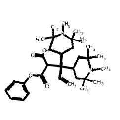 C=CC(C1CC(C)(C)N(C)C(C)(C)C1)(C1CC(C)(C)N(C)C(C)(C)C1)C(C(=O)O)C(=O)Oc1ccccc1